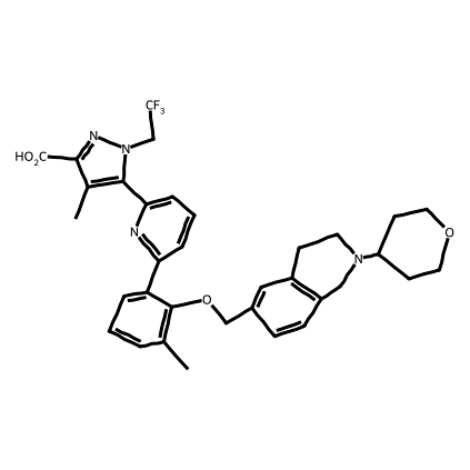 Cc1cccc(-c2cccc(-c3c(C)c(C(=O)O)nn3CC(F)(F)F)n2)c1OCc1ccc2c(c1)CCN(C1CCOCC1)C2